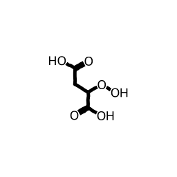 O=C(O)CC(OO)C(=O)O